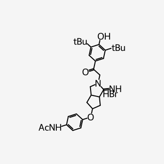 Br.CC(=O)Nc1ccc(OC2CC3CN(CC(=O)c4cc(C(C)(C)C)c(O)c(C(C)(C)C)c4)C(=N)C3C2)cc1